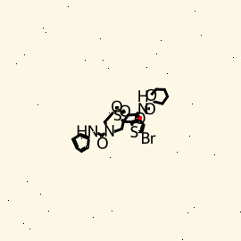 O=C(CC1(c2ccc(Br)s2)CCN(C(=O)Nc2ccccc2)CCS1(=O)=O)NOC1CCCCO1